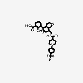 Cc1c(C(=O)O)cccc1-c1ccc(CNC(=O)C2CCN(c3ccc(C(F)(F)F)cc3)CC2)c2cnccc12